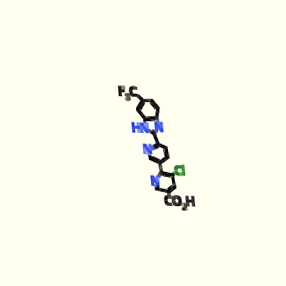 O=C(O)c1cnc(-c2ccc(-c3nc4ccc(C(F)(F)F)cc4[nH]3)nc2)c(Cl)c1